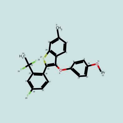 Cc1ccc2c(Oc3ccc(OC(C)C)cc3)c(-c3ccc(F)cc3C(C)(F)F)sc2c1